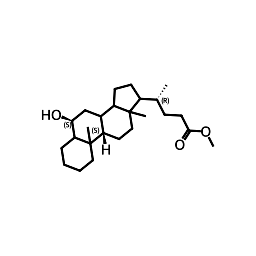 COC(=O)CC[C@@H](C)C1CCC2C3C[C@H](O)C4CCCCC4(C)[C@H]3CCC21C